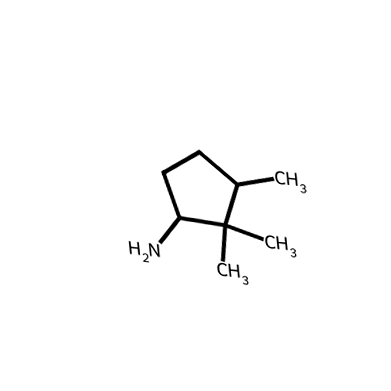 CC1CCC(N)C1(C)C